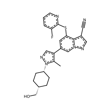 Cc1c(-c2cc(Sc3ncccc3F)c3c(C#N)cnn3c2)cnn1[C@H]1CC[C@@H](CO)CC1